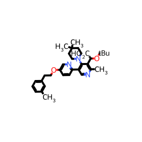 Cc1cccc(CCOc2ccc(-c3cnc(C)c(C(OC(C)(C)C)C(=O)O)c3N3CCC(C)(C)CC3)nc2)c1